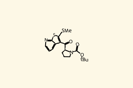 CSc1sc2ncccc2c1C(=O)C1CCCN1C(=O)OC(C)(C)C